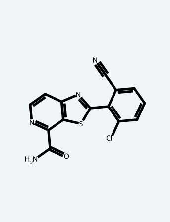 N#Cc1cccc(Cl)c1-c1nc2ccnc(C(N)=O)c2s1